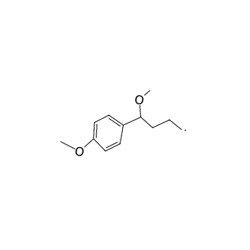 [CH2]CCC(OC)c1ccc(OC)cc1